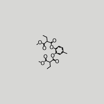 CCC(C(=O)OC)C(=O)Oc1ccc(C)cc1OC(=O)C(CC)C(=O)OC